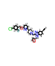 C#Cc1ccc2c(c1)nc(CN1CCC(c3cccc(OCc4ccc(Cl)cc4F)n3)CC1)n2C[C@@H]1CCO1